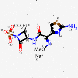 CCOC(=O)[C@H]1[C@@H](NC(=O)/C(=N\OC)c2csc(N)n2)C(=O)N1S(=O)(=O)[O-].[Na+]